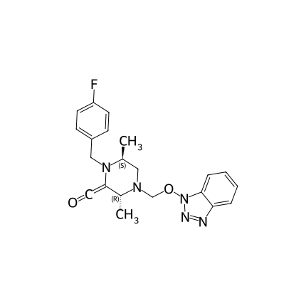 C[C@@H]1C(=C=O)N(Cc2ccc(F)cc2)[C@@H](C)CN1COn1nnc2ccccc21